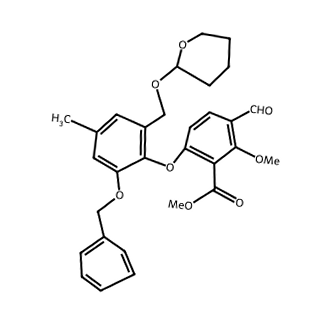 COC(=O)c1c(Oc2c(COC3CCCCO3)cc(C)cc2OCc2ccccc2)ccc(C=O)c1OC